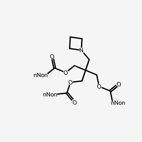 CCCCCCCCCC(=O)OCC(COC(=O)CCCCCCCCC)(COC(=O)CCCCCCCCC)CN1CCC1